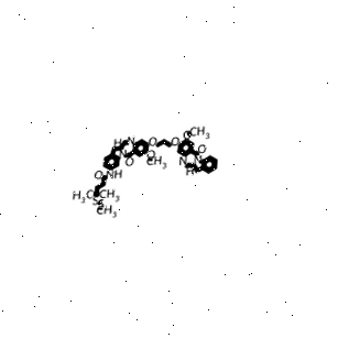 COc1cc2c(cc1OCCCOc1cc3c(cc1OC)C(=O)N1c4cc(NC(=O)CCC(C)(C)SSC)ccc4C[C@H]1C=N3)N=C[C@@H]1Cc3ccccc3N1C2=O